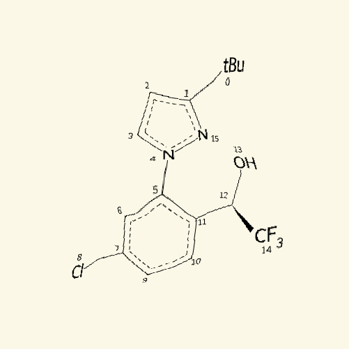 CC(C)(C)c1ccn(-c2cc(Cl)ccc2[C@@H](O)C(F)(F)F)n1